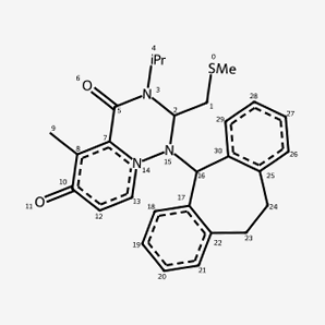 CSCC1N(C(C)C)C(=O)c2c(C)c(=O)ccn2N1C1c2ccccc2CCc2ccccc21